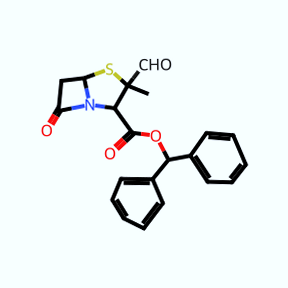 CC1(C=O)SC2CC(=O)N2C1C(=O)OC(c1ccccc1)c1ccccc1